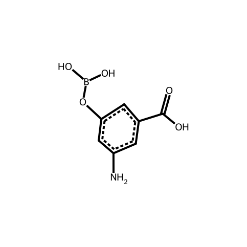 Nc1cc(OB(O)O)cc(C(=O)O)c1